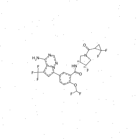 Nc1ncnn2c(-c3ccc(OC(F)F)c(C(=O)N[C@@H]4CN(C(=O)C5CC5(F)F)C[C@@H]4F)c3)cc(C(F)(F)F)c12